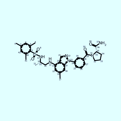 Cc1cc(C)c(S(=O)(=O)N[C@@H](C)CNc2cc(C)cc3c2cnn3-c2cccc(C(=O)N3CCC[C@H]3C(N)=O)c2)c(C)c1